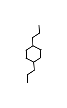 CCCC1[CH]CC(CCC)[CH]C1